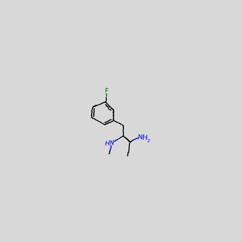 CNC(Cc1cccc(F)c1)C(C)N